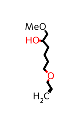 C=CCOCCCCC(O)COC